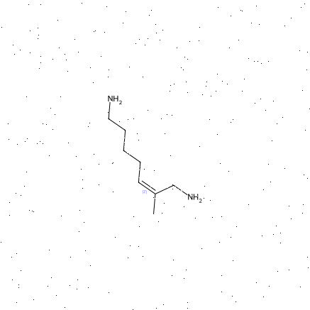 C/C(=C/CCCCN)CN